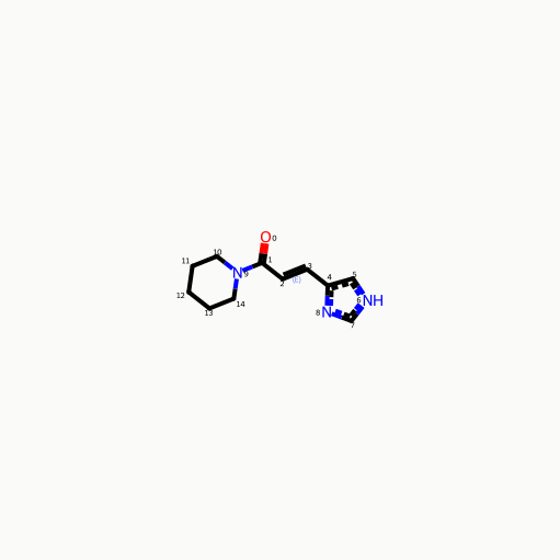 O=C(/C=C/c1c[nH]cn1)N1CCCCC1